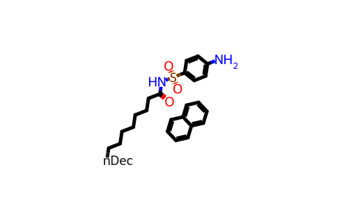 CCCCCCCCCCCCCCCCCC(=O)NS(=O)(=O)c1ccc(N)cc1.c1ccc2ccccc2c1